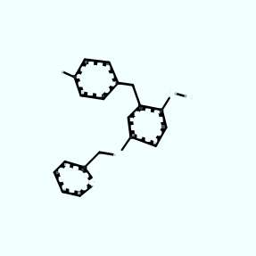 NNc1ccc(OCc2ccccn2)cc1Cc1ccc(Cl)cc1